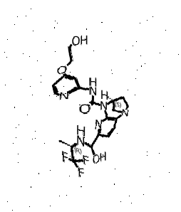 C[C@@H](NC(O)c1ccc2c(n1)N(C(=O)Nc1cc(OCCO)ccn1)[C@H]1CCN2C1)C(F)(F)F